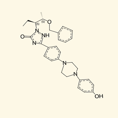 CC[C@@H]([C@H](C)OCc1ccccc1)n1[nH]c(-c2ccc(N3CCN(c4ccc(O)cc4)CC3)cc2)nc1=O